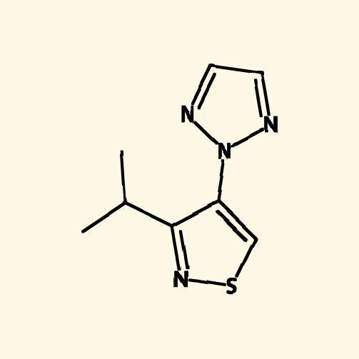 CC(C)c1nscc1-n1nccn1